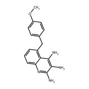 COc1ccc(Cc2cccc3nc(N)c(N)c(N)c23)cc1